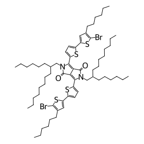 CCCCCCCCC(CCCCCC)CN1C(=O)C2=C(c3ccc(-c4cc(CCCCCC)c(Br)s4)s3)N(CC(CCCCCC)CCCCCCCC)C(=O)C2=C1c1ccc(-c2cc(CCCCCC)c(Br)s2)s1